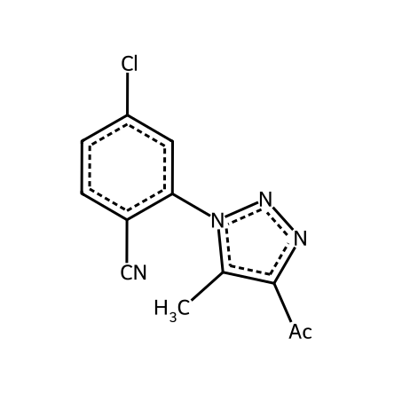 CC(=O)c1nnn(-c2cc(Cl)ccc2C#N)c1C